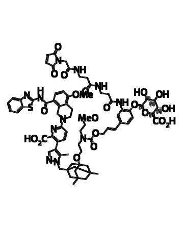 COCCN(CCOC12CC3(C)CC(C)(CC(Cn4ncc(-c5ccc(N6CCc7c(OC)ccc(C(=O)Nc8nc9ccccc9s8)c7C6)nc5C(=O)O)c4C)(C3)C1)C2)C(=O)OCC=Cc1ccc(O[C@@H]2O[C@H](C(=O)O)[C@@H](O)[C@H](O)[C@H]2O)c(NC(=O)CCNC(=O)CCNC(=O)CN2C(=O)C=CC2=O)c1